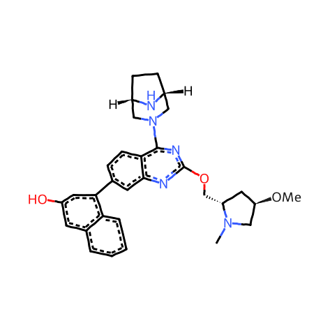 CO[C@@H]1C[C@@H](COc2nc(N3C[C@H]4CC[C@@H](C3)N4)c3ccc(-c4cc(O)cc5ccccc45)cc3n2)N(C)C1